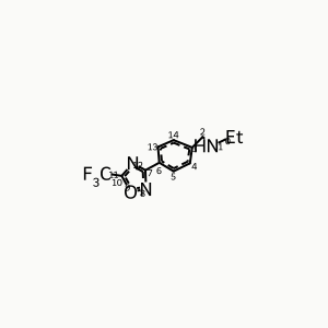 CCNCc1ccc(-c2noc(C(F)(F)F)n2)cc1